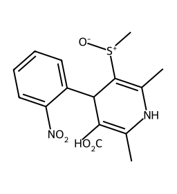 CC1=C(C(=O)O)C(c2ccccc2[N+](=O)[O-])C([S+](C)[O-])=C(C)N1